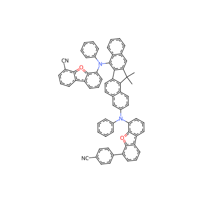 CC1(C)c2cc3ccccc3c(N(c3ccccc3)c3cccc4c3oc3c(C#N)cccc34)c2-c2ccc3cc(N(c4ccccc4)c4cccc5c4oc4c(-c6ccc(C#N)cc6)cccc45)ccc3c21